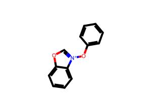 c1ccc(O[n+]2coc3ccccc32)cc1